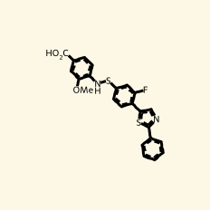 COc1cc(C(=O)O)ccc1NSc1ccc(-c2cnc(-c3ccccc3)s2)c(F)c1